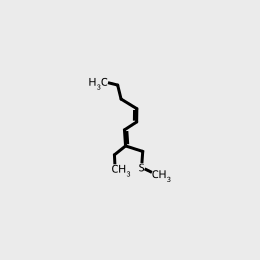 CCC/C=C\C=C(\CC)CSC